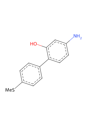 CSc1ccc(-c2ccc(N)cc2O)cc1